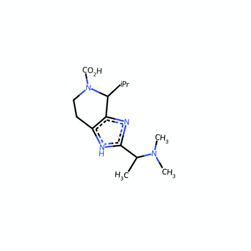 CC(C)C1c2nc(C(C)N(C)C)[nH]c2CCN1C(=O)O